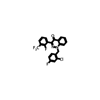 O=c1c(-c2cccc(C(F)(F)F)c2F)nn(Cc2ccc(F)cc2Cl)c2ccccc12